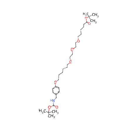 CC(C)(C)OC(=O)CCCCCOCCOCCOCCCCCCOc1ccc(CNC(=O)OC(C)(C)C)cc1